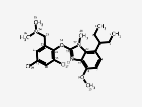 CCC(CC)c1ccc(OC)c2nc(Oc3c(Cl)cc(Cl)cc3CN(C)C)n(C)c12